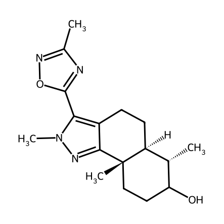 Cc1noc(-c2c3c(nn2C)[C@@]2(C)CCC(O)[C@@H](C)[C@@H]2CC3)n1